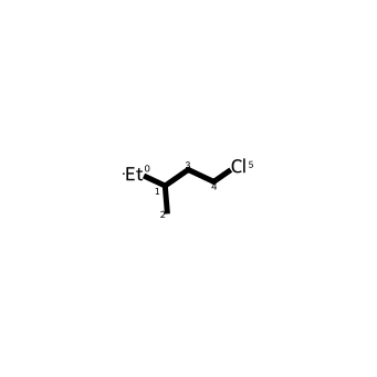 C[CH]C(C)CCCl